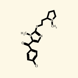 CN1CCCC1CCSc1ncc(C(=O)c2ccc(Cl)cc2)n1C